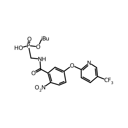 CCC(C)OP(=O)(O)CNC(=O)c1cc(Oc2ccc(C(F)(F)F)cn2)ccc1[N+](=O)[O-]